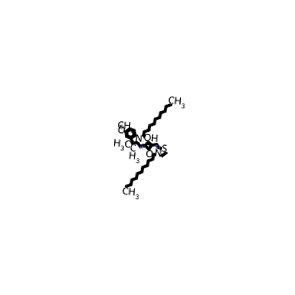 CCCCCCCCCCCCN1CCS/C1=C/C1=C(O)C(=C\C2=[N+](CCCCCCCCCCCC)c3ccc(OC)cc3C2(C)C)/C1=O